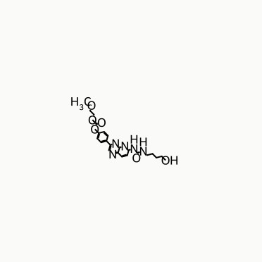 COCCOC(=O)Oc1ccc(-c2cnc3ccc(NC(=O)NCCCCO)nc3n2)cc1